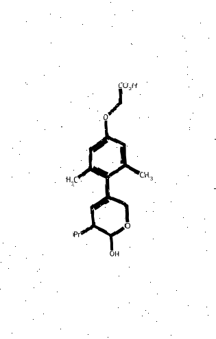 Cc1cc(OCC(=O)O)cc(C)c1C1=CC(C(C)C)C(O)OC1